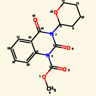 COC(=O)n1c(=O)n(C2CCCCO2)c(=O)c2ccccc21